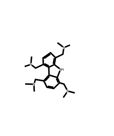 CN(C)Cc1ccc(CN(C)C)c2c1[nH]c1c(CN(C)C)ccc(CN(C)C)c12